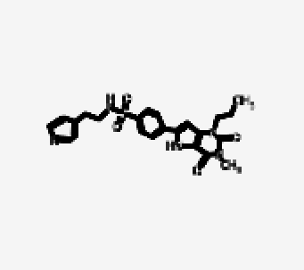 CCCn1c(=O)n(C)c(=O)c2[nH]c(-c3ccc(S(=O)(=O)NCCc4ccncc4)cc3)cc21